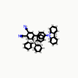 N#Cc1cc(-c2ccc(-n3c4ccccc4c4ccccc43)cc2)c([Si](c2ccccc2)(c2ccccc2)c2ccccc2)cc1C#N